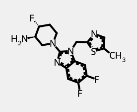 Cc1cnc(Cn2c(N3CC[C@@H](F)[C@H](N)C3)nc3cc(F)c(F)cc32)s1